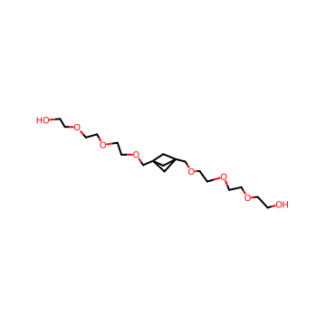 OCCOCCOCCOCC12CC(COCCOCCOCCO)(C1)C2